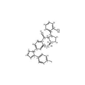 Cc1ccc(-c2cnnn2-c2ccc(C(=O)N3[C@@H](c4ccccc4Cl)CC[C@H]3C(=O)O)cc2)cc1